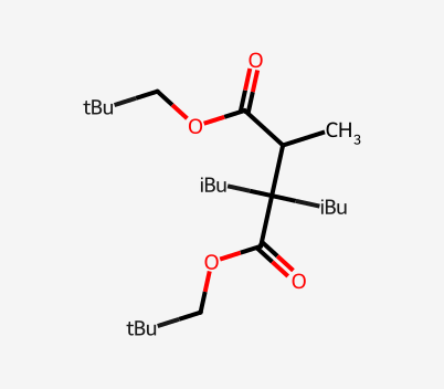 CCC(C)C(C(=O)OCC(C)(C)C)(C(C)CC)C(C)C(=O)OCC(C)(C)C